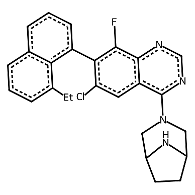 CCc1cccc2cccc(-c3c(Cl)cc4c(N5CC6CCC(C5)N6)ncnc4c3F)c12